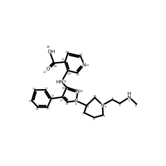 CNCCN1CCCC(n2cc(-c3ccccc3)c(Nc3cnccc3C(=O)O)n2)C1